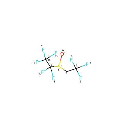 [O-][S+](CC(F)(F)F)C(F)(F)C(F)(F)F